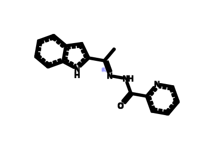 C/C(=N\NC(=O)c1ccccn1)c1cc2ccccc2[nH]1